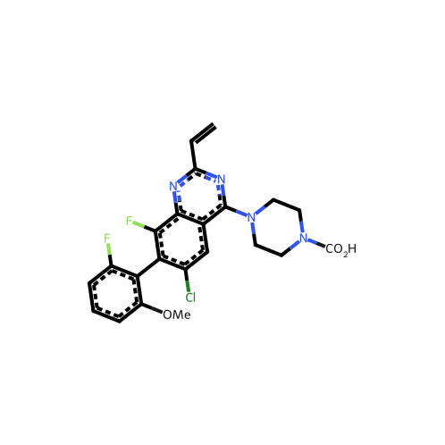 C=Cc1nc(N2CCN(C(=O)O)CC2)c2cc(Cl)c(-c3c(F)cccc3OC)c(F)c2n1